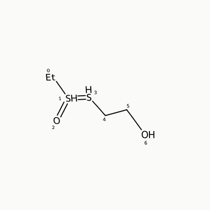 CC/[SH](=O)=[SH]/CCO